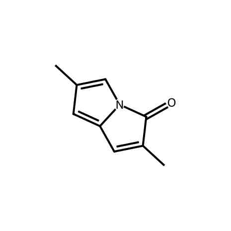 CC1=Cc2cc(C)cn2C1=O